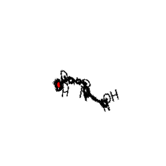 O=C(NCC12CC3CC(CC(C3)C1)C2)c1ccc(N2CCN(C(=O)c3cncc(C#Cc4cncc(O)c4)c3)CC2)cc1